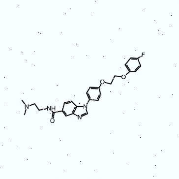 CN(C)CCNC(=O)c1ccc2c(c1)ncn2-c1ccc(OCCOc2ccc(F)cc2)cc1